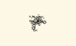 CC[C@H](C)[C@H](NC(=O)[C@H](Cc1ccc(O)cc1)NC(=O)CNC(=O)C(CC(=O)N1CCCCC1)NC(=O)[C@H](CCCCN)NC(=O)[C@H](C)N)C(=O)O